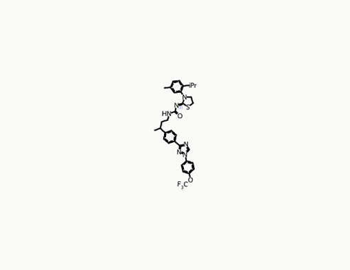 Cc1ccc(C(C)C)c(N2CCS/C2=N\C(=O)NCCC(C)c2ccc(-c3ncn(-c4ccc(OC(F)(F)F)cc4)n3)cc2)c1